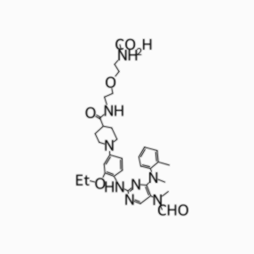 CCOc1cc(N2CCC(C(=O)NCCOCCNC(=O)O)CC2)ccc1Nc1ncc(N(C)C=O)c(N(C)c2ccccc2C)n1